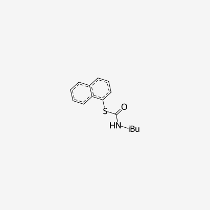 CCC(C)NC(=O)Sc1cccc2ccccc12